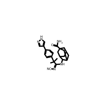 CC(C)(/C(=N\C#N)NC1C2CC3CC1CC(C(N)=O)(C3)C2)c1ccc(-c2cn[nH]c2)cc1